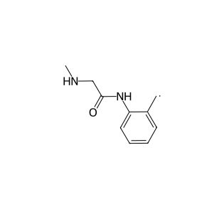 [CH2]c1ccccc1NC(=O)CNC